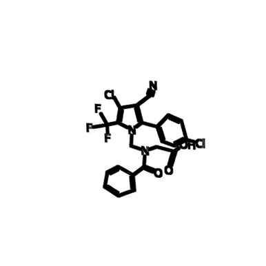 N#Cc1c(Cl)c(C(F)(F)F)n(CN(CC(=O)O)C(=O)c2ccccc2)c1-c1ccc(Cl)cc1